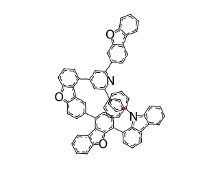 c1ccc(-c2cc(-c3cccc4oc5ccc(-c6ccc(-c7cccc8c9ccccc9n(-c9ccccc9)c78)c7oc8ccccc8c67)cc5c34)cc(-c3ccc4c(c3)oc3ccccc34)n2)cc1